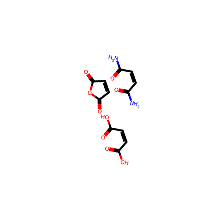 NC(=O)/C=C\C(N)=O.O=C(O)/C=C\C(=O)O.O=C1C=CC(=O)O1